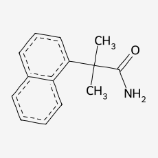 CC(C)(C(N)=O)c1cccc2ccccc12